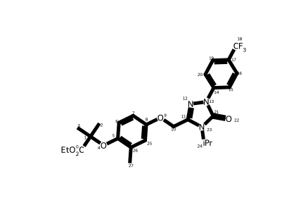 CCOC(=O)C(C)(C)Oc1ccc(OCc2nn(-c3ccc(C(F)(F)F)cc3)c(=O)n2C(C)C)cc1C